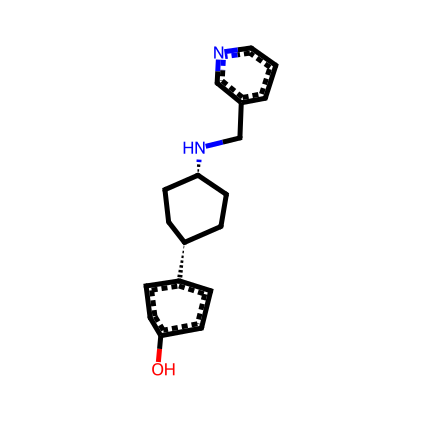 Oc1ccc([C@H]2CC[C@@H](NCc3cccnc3)CC2)cc1